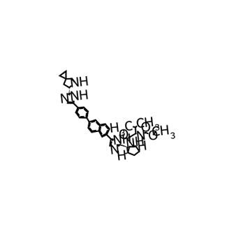 COC(=O)N[C@H](C(=O)N1[C@@H]2CC[C@@H](C2)[C@H]1c1ncc(-c2ccc3cc(-c4ccc(-c5cnc([C@@H]6CC7(CC7)CN6)[nH]5)cc4)ccc3c2)[nH]1)C(C)C